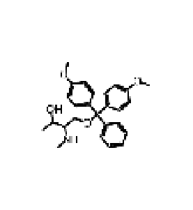 CNC(COC(c1ccccc1)(c1ccc(OC)cc1)c1ccc(OC)cc1)C(C)O